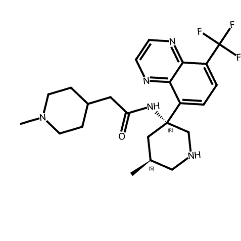 C[C@@H]1CNC[C@](NC(=O)CC2CCN(C)CC2)(c2ccc(C(F)(F)F)c3nccnc23)C1